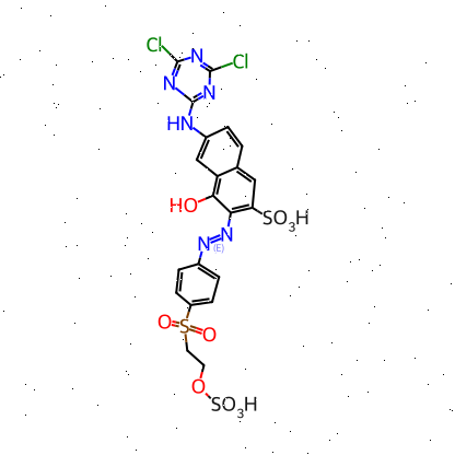 O=S(=O)(O)OCCS(=O)(=O)c1ccc(/N=N/c2c(S(=O)(=O)O)cc3ccc(Nc4nc(Cl)nc(Cl)n4)cc3c2O)cc1